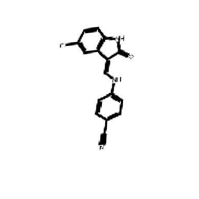 N#Cc1ccc(NC=C2C(=O)Nc3ccc(Cl)cc32)cc1